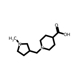 CN1CCC(CN2CCC(C(=O)O)CC2)C1